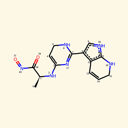 C[C@H](NC1=CCNC(c2c[nH]c3c2C=CCN3)=N1)C(=O)N=O